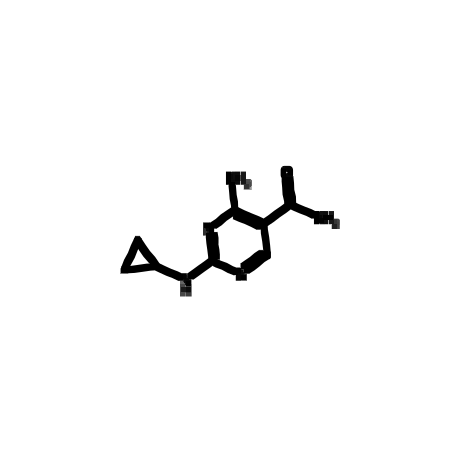 NC(=O)c1cnc(NC2CC2)nc1N